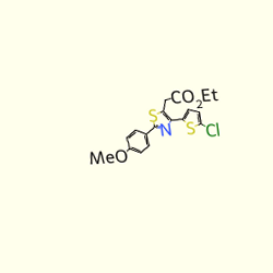 CCOC(=O)Cc1sc(-c2ccc(OC)cc2)nc1-c1ccc(Cl)s1